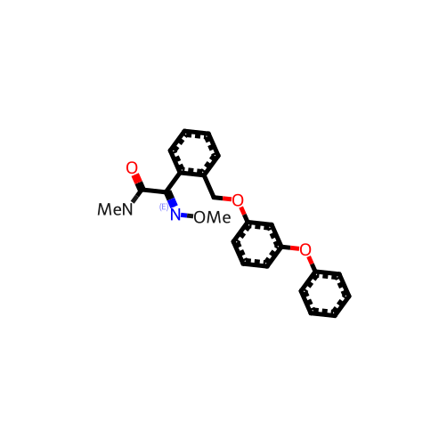 CNC(=O)/C(=N/OC)c1ccccc1COc1cccc(Oc2ccccc2)c1